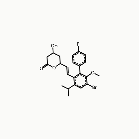 COc1c(Br)cc(C(C)C)c(C=CC2CC(O)CC(=O)O2)c1-c1ccc(F)cc1